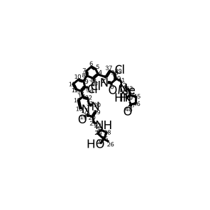 COc1nc(-c2cccc(-c3cccc(-c4ccn5c(=O)c(CNC6CC(C)(O)C6)cnc5c4)c3Cl)c2Cl)cc(Cl)c1CNCC1CCC(=O)N1